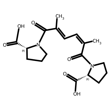 CC(=CC=C(C)C(=O)N1CCC[C@@H]1C(=O)O)C(=O)N1CCC[C@@H]1C(=O)O